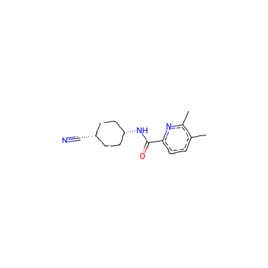 Cc1ccc(C(=O)N[C@H]2CC[C@@H](C#N)CC2)nc1C